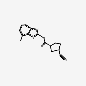 Cc1cccc2nc(NC(=O)[C@H]3CCN(C#N)C3)sc12